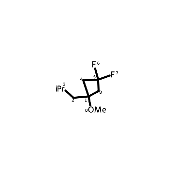 COC1(CC(C)C)CC(F)(F)C1